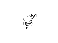 CCOC[C@H](NC)C(=O)OCc1cc(Cl)nc(Cl)c1.Cl